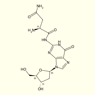 NC(=O)C[C@H](N)C(=O)Nc1nc2c(ncn2[C@H]2C[C@H](O)[C@@H](CO)O2)c(=O)[nH]1